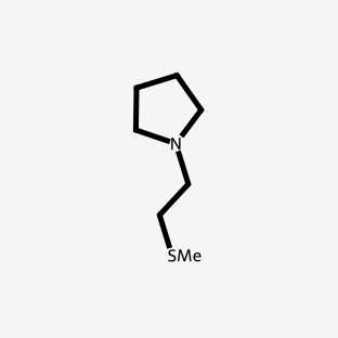 [CH2]SCCN1CCCC1